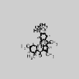 Cc1ccc(C(=O)c2[nH]c(C(C)c3ccc(NS(C)(=O)=O)cc3F)cc2C)c(C)c1